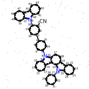 N#Cc1cc(-c2ccc(-n3c4ccccc4c4c3ccc3c5ccccc5n(-c5ccccc5)c34)cc2)ccc1-n1c2ccccc2c2ccccc21